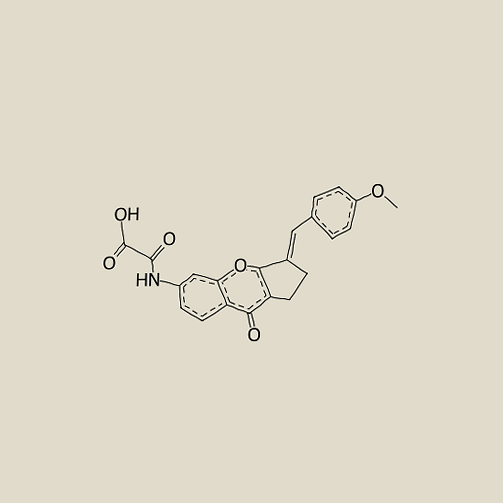 COc1ccc(C=C2CCc3c2oc2cc(NC(=O)C(=O)O)ccc2c3=O)cc1